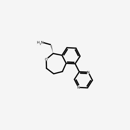 NC[C@H]1OCCCc2c(-c3cnccn3)cccc21